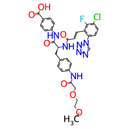 COCCOCC(=O)Nc1ccc(C[C@H](NC(=O)/C=C/c2c(-n3cnnn3)ccc(Cl)c2F)C(=O)Nc2ccc(C(=O)O)cc2)cc1